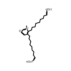 CCCCCCCC/C=C\CCCCCCCCc1ccc[n+](C)c1CCCCCCCC/C=C\CCCCCCCC.[Cl-]